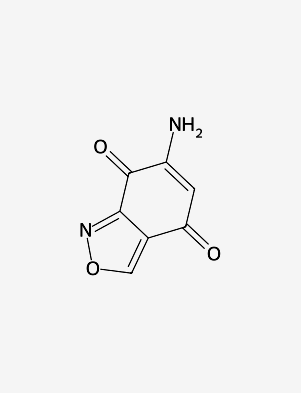 NC1=CC(=O)c2conc2C1=O